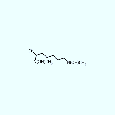 CCC(CCCCCN(C)O)N(C)O